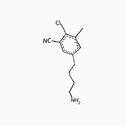 Cc1cc(CCCCN)cc(C#N)c1Cl